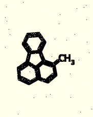 Cc1ccc2cccc3c2c1-c1ccccc1-3